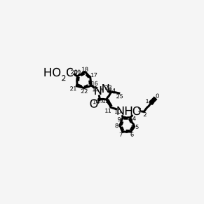 C#CCOc1ccccc1NC=C1C(=O)N(c2ccc(C(=O)O)cc2)N=C1C